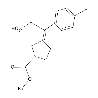 CC(C)(C)OC(=O)N1CCC(=C(CC(=O)O)c2ccc(F)cc2)C1